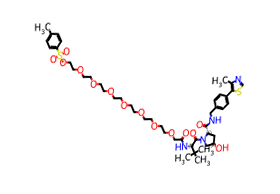 Cc1ccc(S(=O)(=O)OCCOCCOCCOCCOCCOCCOCCOCC(=O)N[C@H](C(=O)N2C[C@H](O)C[C@H]2C(=O)NCc2ccc(-c3scnc3C)cc2)C(C)(C)C)cc1